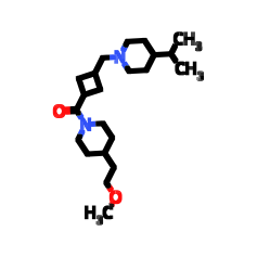 COCCC1CCN(C(=O)C2CC(CN3CCC(C(C)C)CC3)C2)CC1